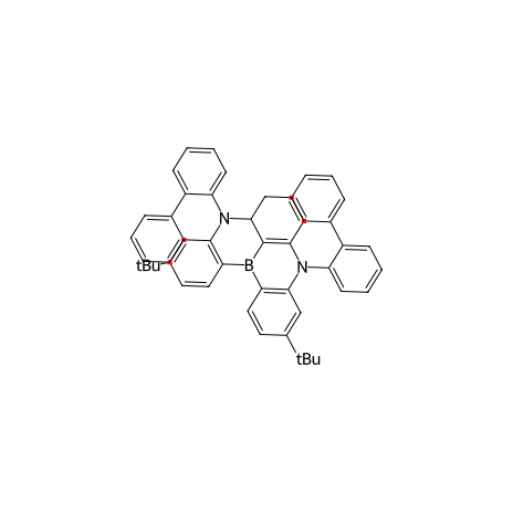 CC(C)(C)c1ccc2c(c1)N(c1ccccc1-c1ccccc1)C1=C3B2c2ccc(C(C)(C)C)cc2N(c2ccccc2-c2ccccc2)C3CC=C1